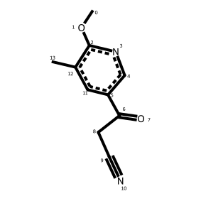 COc1ncc(C(=O)CC#N)cc1C